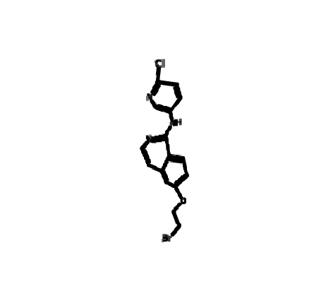 Clc1ccc(Nc2nccc3cc(OCCBr)ccc23)cn1